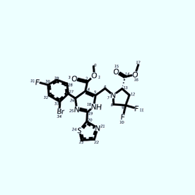 COC(=O)C1=C(CN2CC(F)(F)C[C@H]2C(=O)OC)NC(c2nccs2)=NC1c1ccc(F)cc1Br